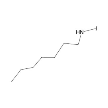 CCCCCCCNI